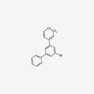 C/C=C\C(=C/C)c1cc(Br)cc(-c2ccccc2)c1